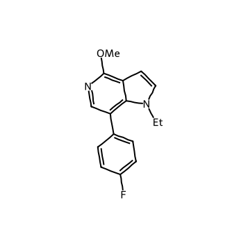 CCn1ccc2c(OC)ncc(-c3ccc(F)cc3)c21